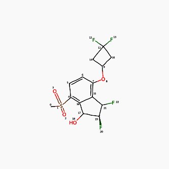 CS(=O)(=O)c1ccc(OC2CC(F)(F)C2)c2c1C(O)[C@H](F)C2F